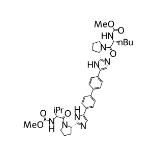 CCCC[C@H](NC(=O)OC)C(=O)N1CCC[C@H]1c1ncc(-c2ccc(-c3ccc(-c4cnc([C@@H]5CCCN5C(=O)[C@@H](NC(=O)OC)C(C)C)[nH]4)cc3)cc2)[nH]1